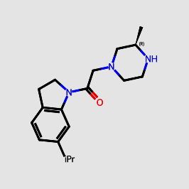 CC(C)c1ccc2c(c1)N(C(=O)CN1CCN[C@H](C)C1)CC2